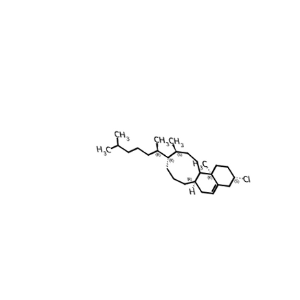 CC(C)CCC[C@@H](C)[C@H]1CCC[C@@H]2CC=C3C[C@@H](Cl)CC[C@]3(C)C2CC[C@@H]1C